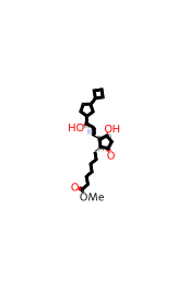 COC(=O)CCCCCC[C@H]1C(=O)C[C@@H](O)[C@@H]1/C=C/[C@@H](O)C1CCC(C2CCC2)C1